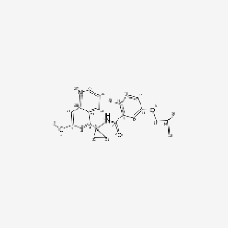 COc1cc(C2(NC(=O)c3cc(OCC(C)C)ccc3C)CC2)c2cccnc2c1